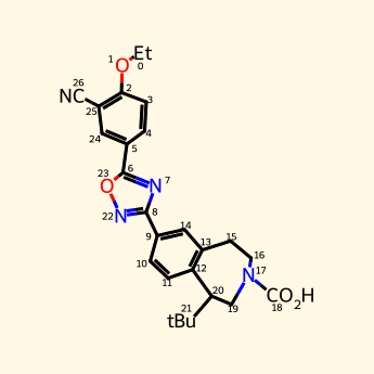 CCOc1ccc(-c2nc(-c3ccc4c(c3)CCN(C(=O)O)CC4C(C)(C)C)no2)cc1C#N